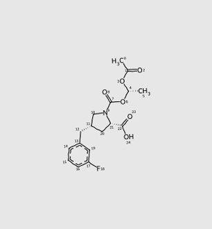 CC(=O)O[C@H](C)OC(=O)N1C[C@@H](Cc2cccc(F)c2)C[C@H]1C(=O)O